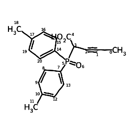 CC#CC(C(=O)O)P(=O)(c1ccc(C)cc1)c1ccc(C)cc1